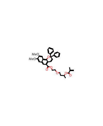 C=C(C)C(=O)OC(C)CCOCCOC(=O)c1cc2cc(OC)c(OC)cc2c2c1C=CC(c1ccccc1)(c1ccccc1)O2